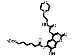 CCCCCCCCCCCCCCCC(=O)Nc1cc2c(CC(=O)NCCN3CCOCC3)cc(=O)oc2cc1O